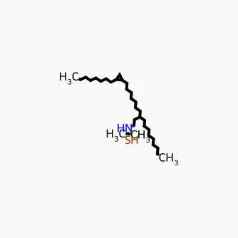 CCCCCCCCCC(CCCCCCCC1CC1CCCCCCCC)CCNC(C)(C)S